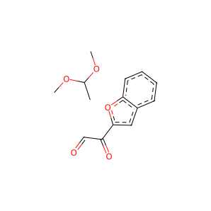 COC(C)OC.O=CC(=O)c1cc2ccccc2o1